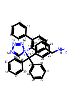 NCc1ccc(-c2ccccc2)c([N+]2(C(c3ccccc3)(c3ccccc3)c3ccccc3)C=NN=N2)c1